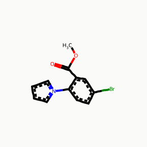 COC(=O)c1cc(Br)ccc1-n1cccc1